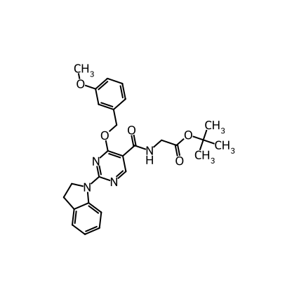 COc1cccc(COc2nc(N3CCc4ccccc43)ncc2C(=O)NCC(=O)OC(C)(C)C)c1